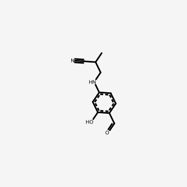 CC(C#N)CNc1ccc(C=O)c(O)c1